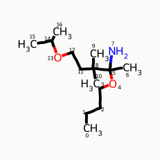 CCCCOC(C)(N)C(C)(C)CCOC(C)C